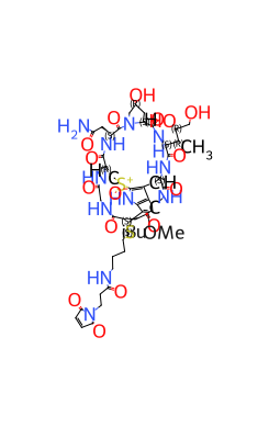 CC[C@H](C)[C@@H]1CC(=O)CNC(=O)[C@@H]2Cc3c([nH]c4c(CSCCCCNC(=O)CCN5C(=O)C=CC5=O)c(OC)ccc34)[S+]([O-])C[C@H](NC(=O)CNC1=O)C(=O)N[C@@H](CC(N)=O)C(=O)N1C[C@H](O)C[C@H]1C(=O)N[C@@H]([C@@H](C)[C@@H](O)CO)C(=O)N2